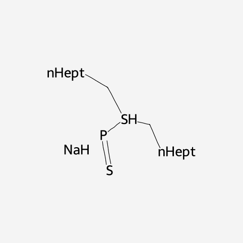 CCCCCCCC[SH](CCCCCCCC)P=S.[NaH]